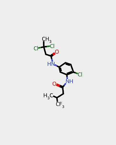 CC(CC(=O)Nc1cc(NC(=O)CC(C)(Cl)Cl)ccc1Cl)C(F)(F)F